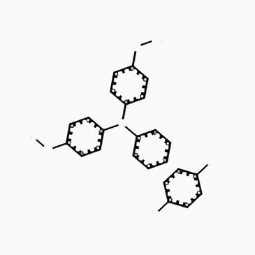 CC(C)(C)Oc1ccc([S+](c2ccccc2)c2ccc(OC(C)(C)C)cc2)cc1.Cc1ccc(S(=O)(=O)O)cc1